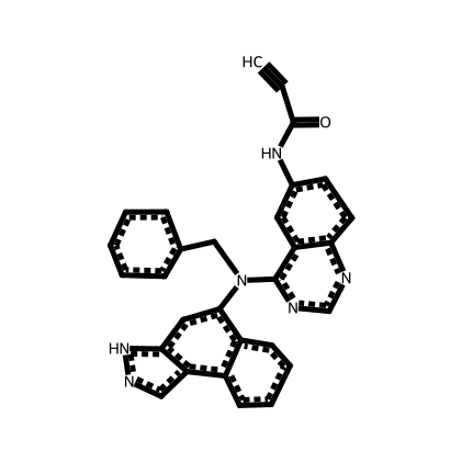 C#CC(=O)Nc1ccc2ncnc(N(Cc3ccccc3)c3cc4[nH]ncc4c4ccccc34)c2c1